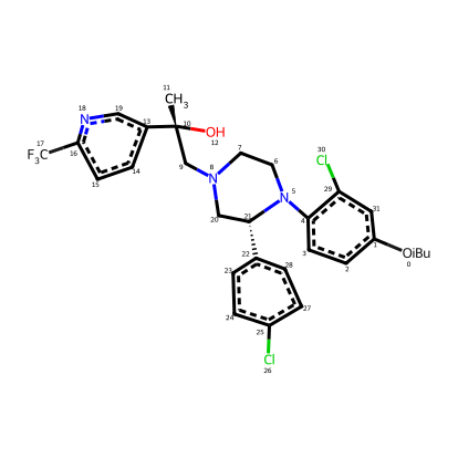 CC(C)COc1ccc(N2CCN(C[C@@](C)(O)c3ccc(C(F)(F)F)nc3)C[C@H]2c2ccc(Cl)cc2)c(Cl)c1